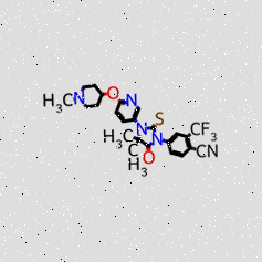 CN1CCC(Oc2ccc(N3C(=S)N(c4ccc(C#N)c(C(F)(F)F)c4)C(=O)C3(C)C)cn2)CC1